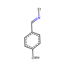 [CH2]CN=Cc1ccc(OC)cc1